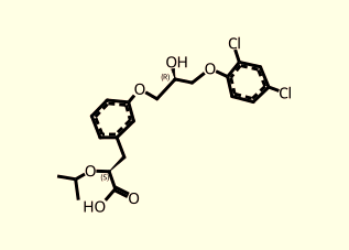 CC(C)O[C@@H](Cc1cccc(OC[C@@H](O)COc2ccc(Cl)cc2Cl)c1)C(=O)O